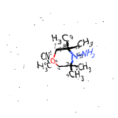 CC#N.CC1(C)COCC(C)(C)N1N